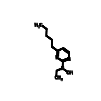 CCCCCc1ccnc(N(O)CC)n1